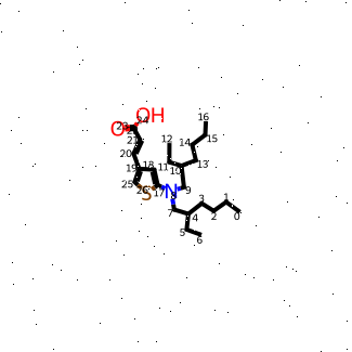 CCCCC(CC)CN(CC(CC)CCCC)c1cc(/C=C/C(=O)O)cs1